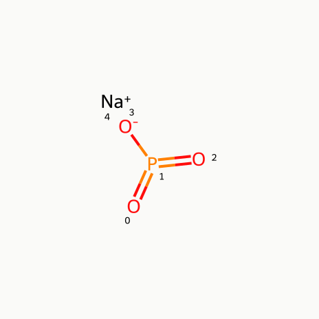 O=P(=O)[O-].[Na+]